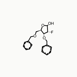 OC1O[C@H](COCc2ccccc2)[C@@H](OCc2ccccc2)[C@H]1F